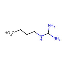 NC(N)NCCCC(=O)O